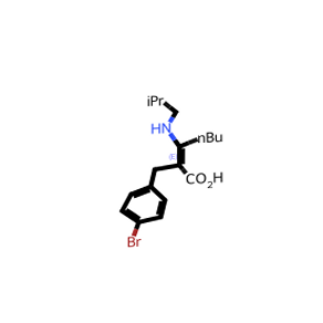 CCCC/C(NCC(C)C)=C(/Cc1ccc(Br)cc1)C(=O)O